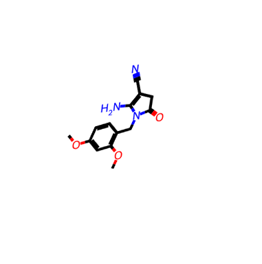 COc1ccc(CN2C(=O)CC(C#N)=C2N)c(OC)c1